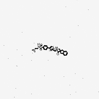 CN(C)CCNS(=O)(=O)c1ccc(-c2csc(CNC(=O)C3(CC(=O)O)Cc4ccccc4C3)n2)cc1